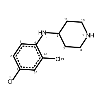 Clc1ccc(NC2CCNCC2)c(Cl)c1